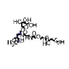 C\C=C/C(=C\C(=C\OC1CC(O)C(O)C(CO)O1)NC(=O)CCNC(=O)COCCNOC(=O)CCSO)COC(C)=O